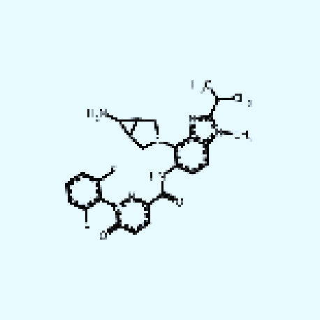 CC(C)c1nc2c(N3CC4C(N)C4C3)c(NC(=O)c3ccc(=O)n(-c4c(F)cccc4F)n3)ccc2n1C